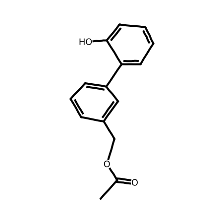 CC(=O)OCc1cccc(-c2ccccc2O)c1